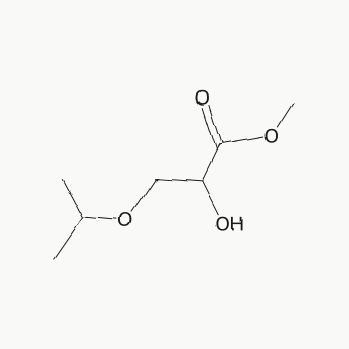 COC(=O)C(O)COC(C)C